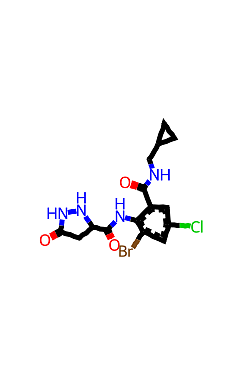 O=C1CC(C(=O)Nc2c(Br)cc(Cl)cc2C(=O)NCC2CC2)NN1